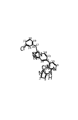 Cn1nccc1Nc1nccc(-c2ccn3c(Cc4cccc(Cl)c4)nnc3c2)n1